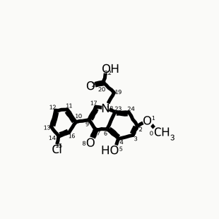 COc1cc(O)c2c(=O)c(-c3cccc(Cl)c3)cn(CC(=O)O)c2c1